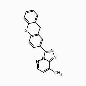 Cc1ccnn2c(-c3ccc4c(c3)Sc3ccccc3S4)nnc12